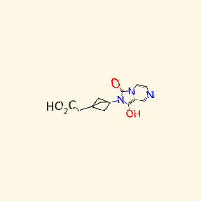 O=C(O)CC12CC(n3c(O)c4cnccn4c3=O)(C1)C2